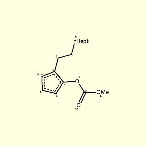 CCCCCCCCCc1sccc1OC(=O)OC